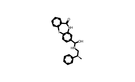 C[C@H](CNC(O)c1ccc2c(c1)NC(=O)c1ccccc1S2)c1ccccc1